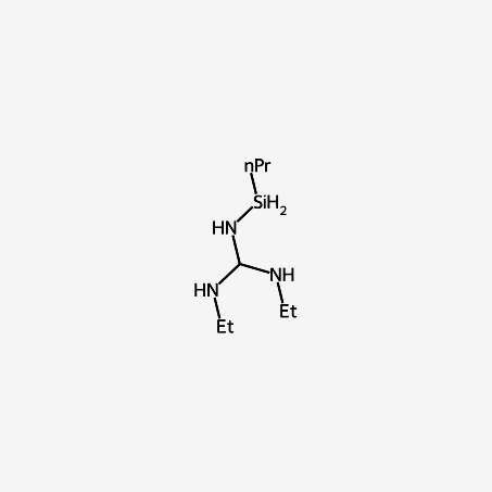 CCC[SiH2]NC(NCC)NCC